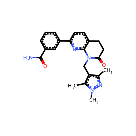 Cc1nn(C)c(C)c1CN1C(=O)CCc2ccc(-c3cccc(C(N)=O)c3)nc21